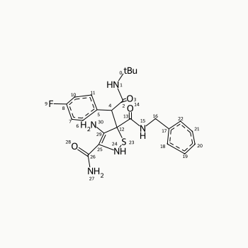 CC(C)(C)NC(=O)C(c1ccc(F)cc1)C1(C(=O)NCc2ccccc2)SNC(C(N)=O)=C1N